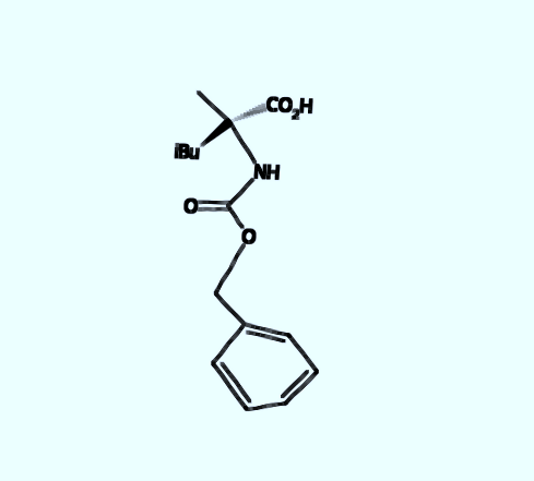 CC[C@H](C)[C@@](C)(NC(=O)OCc1ccccc1)C(=O)O